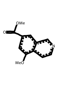 COC(=O)c1cc(OC)c2ccncc2c1